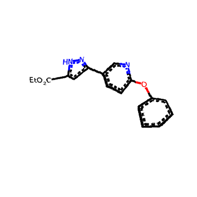 CCOC(=O)c1cc(-c2ccc(Oc3ccccc3)nc2)n[nH]1